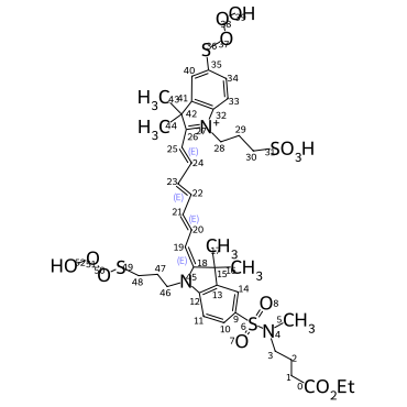 CCOC(=O)CCCN(C)S(=O)(=O)c1ccc2c(c1)C(C)(C)\C(=C/C=C/C=C/C=C/C1=[N+](CCCS(=O)(=O)O)c3ccc(SOOO)cc3C1(C)C)N2CCCSOOO